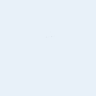 CCCOCCCS(=O)(=O)O